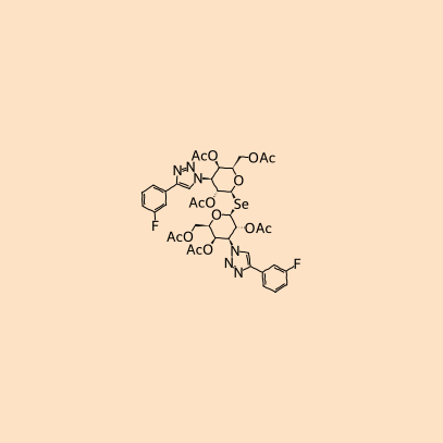 CC(=O)OC[C@H]1O[C@@H]([Se][C@@H]2O[C@H](COC(C)=O)[C@H](OC(C)=O)[C@H](n3cc(-c4cccc(F)c4)nn3)[C@H]2OC(C)=O)[C@H](OC(C)=O)[C@@H](n2cc(-c3cccc(F)c3)nn2)[C@H]1OC(C)=O